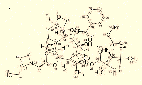 CC(=O)O[C@@]12CO[C@@H]1CC[C@@]1(C)[C@@H]3O[C@H](CN4CC[C@H]4CO)O[C@@H]3C3=C(C)[C@@H](OC(=O)[C@](C)(O)[C@@H](NC(=O)OC(C)C)C(C)(F)F)C[C@@](O)([C@@H](OC(=O)c4ccccc4)[C@@H]12)C3(C)C